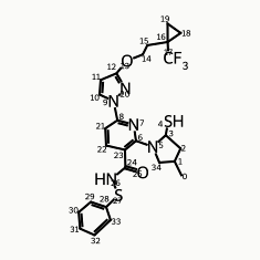 CC1CC(S)N(c2nc(-n3ccc(OCCC4(C(F)(F)F)CC4)n3)ccc2C(=O)NSc2ccccc2)C1